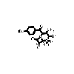 CC1=C(C(=O)c2ccc(C(C)(C)C)cc2)N2C(=O)[C@H](Cl)[C@H]2S(=O)(=O)C1Br